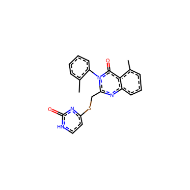 Cc1ccccc1-n1c(CSc2cc[nH]c(=O)n2)nc2cccc(C)c2c1=O